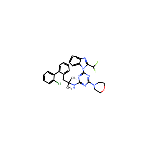 CC(C)(Cc1ccccc1-c1ccccc1Cl)Nc1nc(N2CCOCC2)nc(-n2c(C(F)F)nc3ccccc32)n1